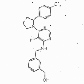 OCc1cccc(CNc2ncnc(N3CCCC3c3ccc(C(F)(F)F)cc3)c2F)c1